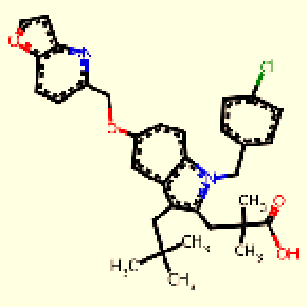 CC(C)(C)Cc1c(CC(C)(C)C(=O)O)n(Cc2ccc(Cl)cc2)c2ccc(OCc3ccc4occc4n3)cc12